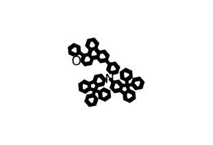 c1ccc(C2(c3ccccc3)c3ccccc3-c3ccc(N(c4cccc(-c5ccc6c7ccccc7c7c(ccc8oc9ccccc9c87)c6c5)c4)c4ccc5c(c4)C(c4ccccc4)(c4ccccc4)c4ccccc4-5)cc32)cc1